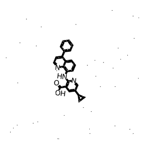 O=C(O)c1cc(C2CC2)cnc1Nc1cccc2c(-c3ccccc3)ccnc12